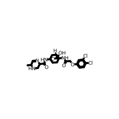 CC1C=NC(C(=O)NC23CCC(NC(=O)COc4ccc(Cl)c(Cl)c4)(CC2)[C@@H](O)C3)CN1